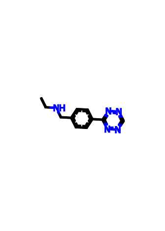 CCNCc1ccc(-c2nncnn2)cc1